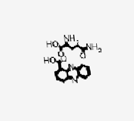 NC(=O)CCC(N)C(=O)O.O=C(O)c1cccc2nc3ccccc3nc12